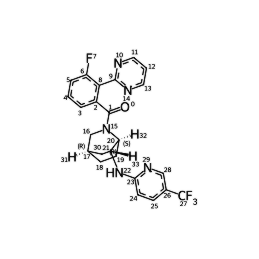 O=C(c1cccc(F)c1-c1ncccn1)N1C[C@@H]2CC[C@H]1[C@H](Nc1ccc(C(F)(F)F)cn1)C2